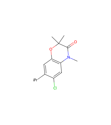 CC(C)c1cc2c(cc1Cl)N(C)C(=O)C(C)(C)O2